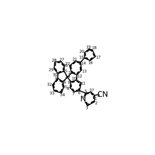 N#Cc1ccnc(-c2ccc3c(c2)-c2cc(-c4ccccc4)ccc2C32c3ccccc3-c3ccccc32)c1